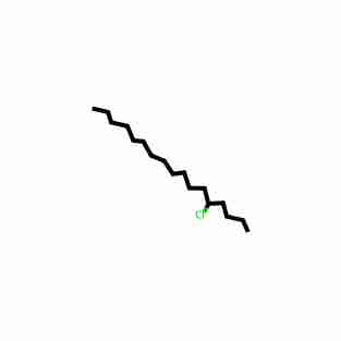 CCCCCCCCCCCCC(Cl)CCCC